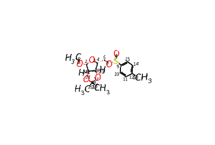 CO[C@@H]1O[C@H](CO[S@@](=O)c2ccc(C)cc2)[C@H]2OC(C)(C)O[C@@H]12